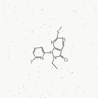 CCn1c(=O)c2cnc(SC)nc2n1-c1cccc(F)n1